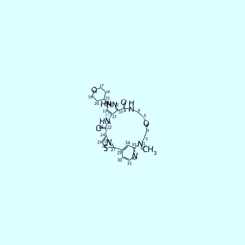 CN1CCOCCNC(=O)C(=N)/C(=C\NC2CCOCC2)NC(=O)c2csc(n2)-c2ccnc1c2